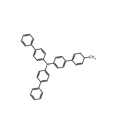 CC1C=CC(c2ccc(N(c3ccc(-c4ccccc4)cc3)c3ccc(-c4ccccc4)cc3)cc2)=CC1